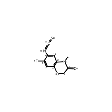 CN1C(=O)COc2cc(F)c(N=C=S)cc21